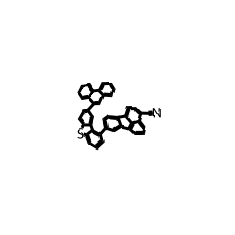 N#Cc1ccc2c3c(cccc13)-c1cc(-c3cccc4sc5ccc(-c6cc7ccccc7c7ccccc67)cc5c34)ccc1-2